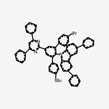 CC(C)c1ccc(-c2cc(-c3nc(-c4ccccc4)cc(-c4ccccc4)n3)cc(-c3ccc(C(C)(C)C)cc3)c2-n2c3ccc(-c4ccccc4)cc3c3cc(-c4ccccc4)ccc32)cc1